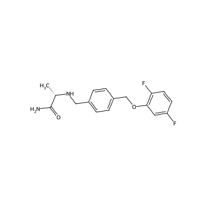 C[C@H](NCc1ccc(COc2cc(F)ccc2F)cc1)C(N)=O